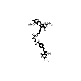 COc1c(C)cnc(Cn2cc(C#CCCOC(=O)N(C)CCN(C)C(=O)c3ccc(CCc4c[nH]c5nc(N)[nH]c(=O)c45)cc3)c3c(Cl)nc(N)nc32)c1C